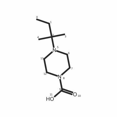 CCC(C)(C)N1CCN(C(=O)O)CC1